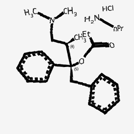 CCC(=O)O[C@](Cc1ccccc1)(c1ccccc1)[C@H](C)CN(C)C.CCCN.Cl